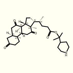 C[C@H](CCC(=O)OC(C)(C)C1CCNCC1)[C@H]1CC[C@H]2[C@@H]3C(=O)C[C@@H]4CC(=O)CC[C@]4(C)[C@H]3CC(=O)[C@]12C